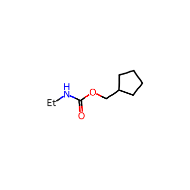 CCNC(=O)OCC1CCCC1